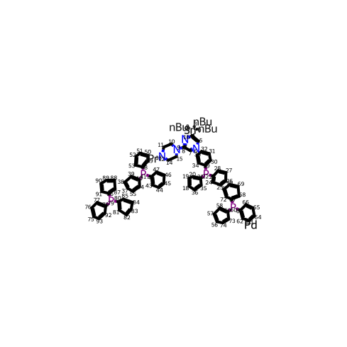 CCC[CH2][Sn]([CH2]CCC)([CH2]CCC)[c]1cncc(N2CCN(C(C)C)CC2)n1.[Pd].c1ccc(P(c2ccccc2)c2ccccc2)cc1.c1ccc(P(c2ccccc2)c2ccccc2)cc1.c1ccc(P(c2ccccc2)c2ccccc2)cc1.c1ccc(P(c2ccccc2)c2ccccc2)cc1